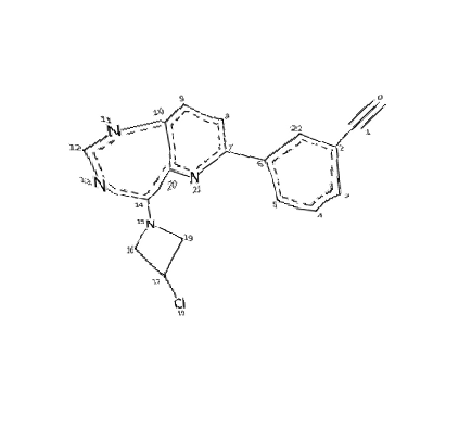 C#Cc1cccc(-c2ccc3ncnc(N4CC(Cl)C4)c3n2)c1